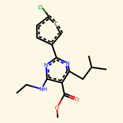 CCNc1nc(-c2ccc(Cl)cc2)nc(CC(C)C)c1C(=O)OC